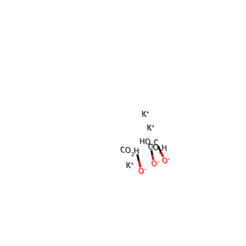 O=C([O-])O.O=C([O-])O.O=C([O-])O.[K+].[K+].[K+]